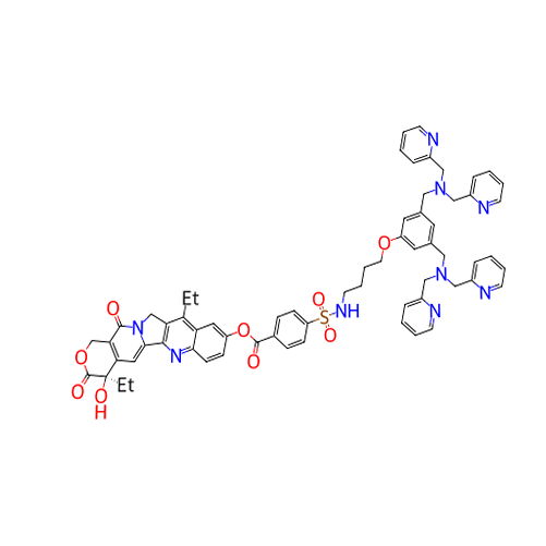 CCc1c2c(nc3ccc(OC(=O)c4ccc(S(=O)(=O)NCCCCOc5cc(CN(Cc6ccccn6)Cc6ccccn6)cc(CN(Cc6ccccn6)Cc6ccccn6)c5)cc4)cc13)-c1cc3c(c(=O)n1C2)COC(=O)[C@@]3(O)CC